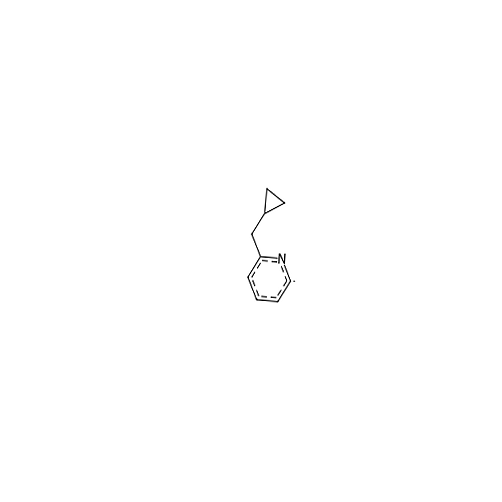 [c]1cccc(CC2CC2)n1